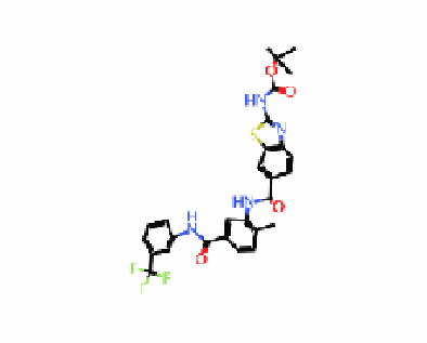 Cc1ccc(C(=O)Nc2cccc(C(F)(F)F)c2)cc1NC(=O)c1ccc2nc(NC(=O)OC(C)(C)C)sc2c1